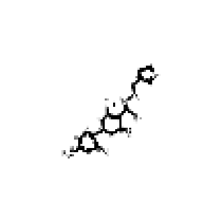 CCC(=NOCc1ccsc1)C1=C(O)CC(c2ccc(C(F)(F)F)cc2Cl)CC1=O